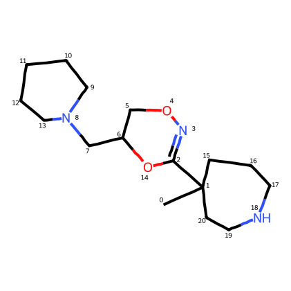 CC1(C2=NOCC(CN3CCCCC3)O2)CCCNCC1